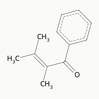 CC(C)=C(C)C(=O)c1ccccc1